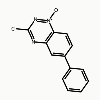 [O-][n+]1nc(Cl)nc2cc(-c3ccccc3)ccc21